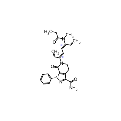 C=C/C(=C\C=C(/C=C)N1CCc2c(C(N)=O)nn(-c3ccccc3)c2C1=O)N(C)C(=O)CC